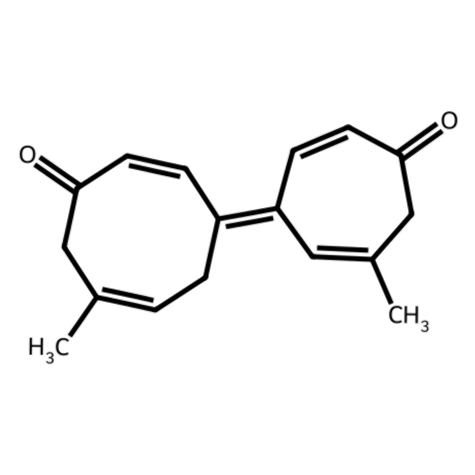 CC1=C/C(=C2/C=C\C(=O)C/C(C)=C\C2)C=CC(=O)C1